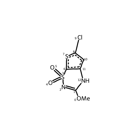 COC1=NS(=O)(=O)c2sc(Cl)cc2N1